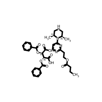 CCCC(=O)OCCc1nccc(N2[C@H](C)CNC[C@@H]2C)n1.O=C(O[C@@H](C(=O)O)[C@@H](OC(=O)c1ccccc1)C(=O)O)c1ccccc1